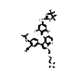 CC(C)Oc1ccc(-c2cn(COCC[Si](C)(C)C)c3nccc(Oc4c(F)cc(NC5=NC(C)(C)C(C)(C)O5)cc4F)c23)cc1C#N